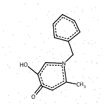 Cc1cc(=O)c(O)cn1Cc1ccccc1